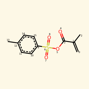 C=C(C)C(=O)OS(=O)(=O)c1ccc(C)cc1